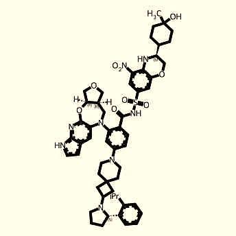 CC(C)c1ccccc1[C@@H]1CCCN1C1CC2(CCN(c3ccc(C(=O)NS(=O)(=O)c4cc5c(c([N+](=O)[O-])c4)N[C@@H](C4CCC(C)(O)CC4)CO5)c(N4C[C@@H]5COC[C@@H]5Oc5nc6[nH]ccc6cc54)c3)CC2)C1